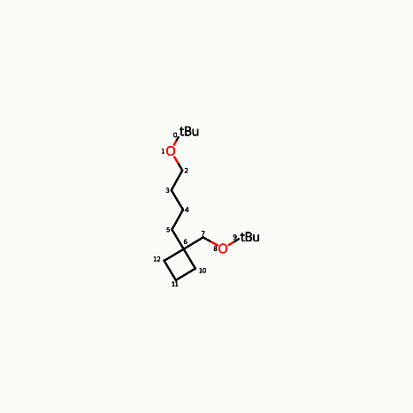 CC(C)(C)OCCCCC1(COC(C)(C)C)CCC1